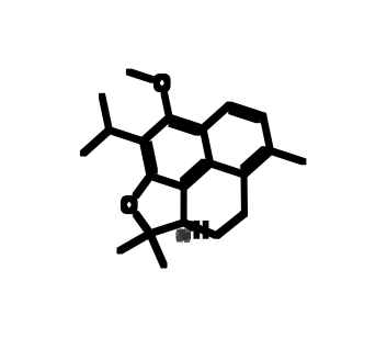 COc1c(C(C)C)c2c3c4c(c(C)ccc14)CC[C@@H]3C(C)(C)O2